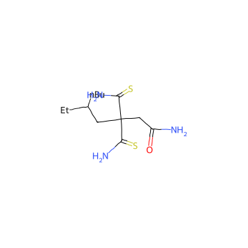 CCCCC(CC)CC(CC(N)=O)(C(N)=S)C(N)=S